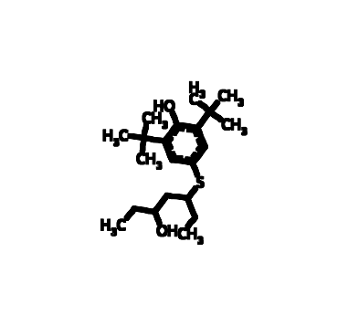 CCC(O)CC(CC)Sc1cc(C(C)(C)C)c(O)c(C(C)(C)C)c1